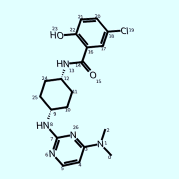 CN(C)c1ccnc(N[C@H]2CC[C@@H](NC(=O)c3cc(Cl)ccc3O)CC2)n1